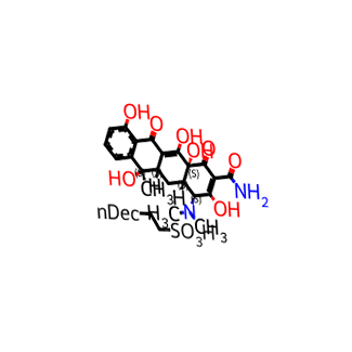 CCCCCCCCCCCCS(=O)(=O)O.CN(C)[C@@H]1C(O)=C(C(N)=O)C(=O)[C@@]2(O)C(O)=C3C(=O)c4c(O)cccc4[C@@](C)(O)[C@H]3C[C@@H]12